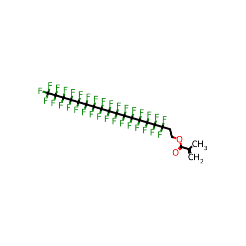 C=C(C)C(=O)OCCC(F)(F)C(F)(F)C(F)(F)C(F)(F)C(F)(F)C(F)(F)C(F)(F)C(F)(F)C(F)(F)C(F)(F)C(F)(F)C(F)(F)C(F)(F)C(F)(F)C(F)(F)C(F)(F)F